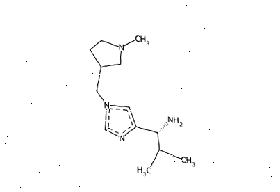 CC(C)[C@@H](N)c1cn(CC2CCN(C)C2)cn1